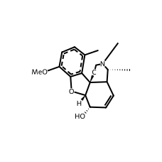 COc1ccc(C)c2c1O[C@H]1[C@@H](O)C=CC3[C@@H](C)N(C)CC[C@@]231